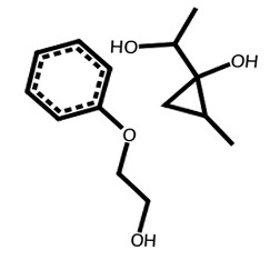 CC(O)C1(O)CC1C.OCCOc1ccccc1